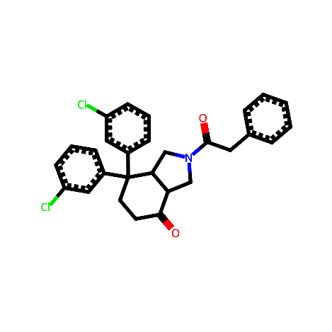 O=C1CCC(c2cccc(Cl)c2)(c2cccc(Cl)c2)C2CN(C(=O)Cc3ccccc3)CC12